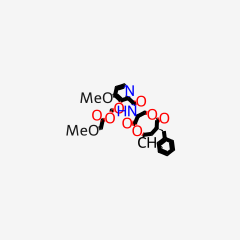 COCC(=O)OCOc1c(OC)ccnc1C(=O)N[C@H]1COC(=O)[C@H](Cc2ccccc2)C[C@H](C)OC1=O